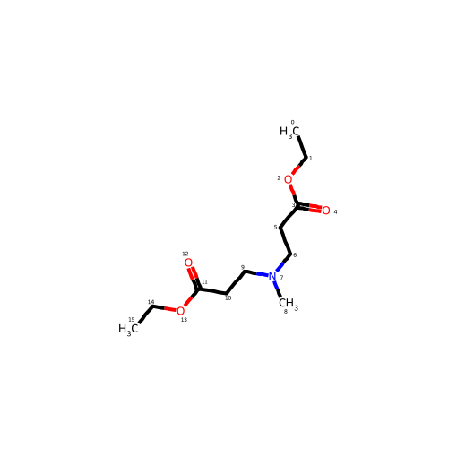 CCOC(=O)CCN(C)CCC(=O)OCC